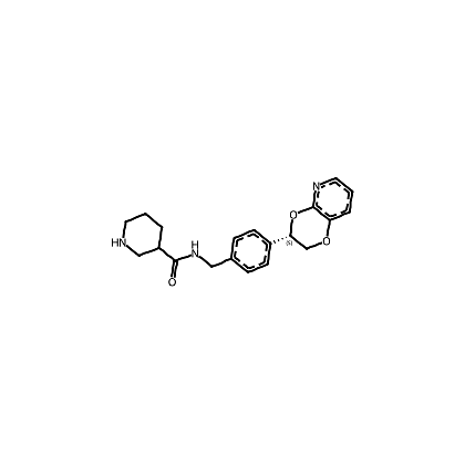 O=C(NCc1ccc([C@H]2COc3cccnc3O2)cc1)C1CCCNC1